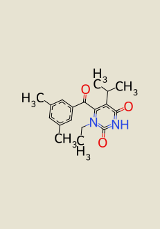 CCn1c(C(=O)c2cc(C)cc(C)c2)c(C(C)C)c(=O)[nH]c1=O